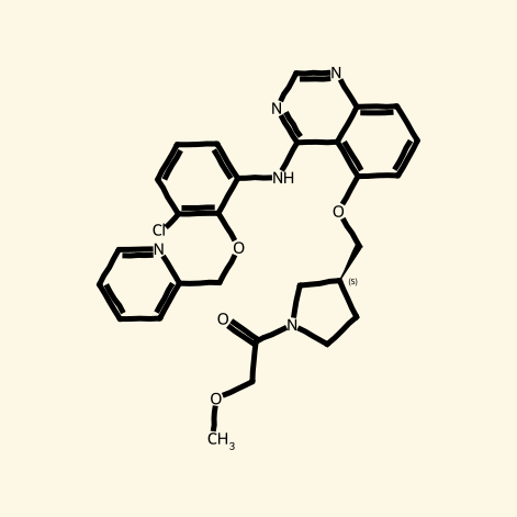 COCC(=O)N1CC[C@H](COc2cccc3ncnc(Nc4cccc(Cl)c4OCc4ccccn4)c23)C1